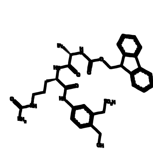 CC(C)[C@H](NC(=O)OCC1c2ccccc2-c2ccccc21)C(=O)N[C@@H](CCCNC(N)=O)C(=O)Nc1ccc(CO)c(CS(=O)(=O)O)c1